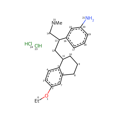 CCOc1ccc2c(c1)CCCC2CC(CNC)c1cccc(N)c1.Cl.Cl